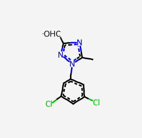 Cc1nc([C]=O)nn1-c1cc(Cl)cc(Cl)c1